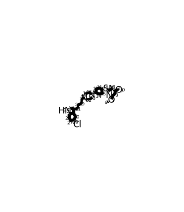 COc1cc(OC)nc(Sc2ccc(N3CCN(CCCCc4c[nH]c5ccc(Cl)cc45)CC3)cc2)n1